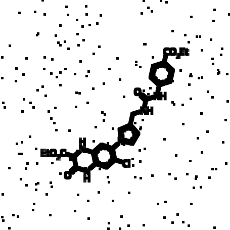 CCOC(=O)c1ccc(NC(=O)NCc2ccn(-c3cc4c(cc3Cl)NC(=O)C(C(=O)OCC)N4)c2)cc1